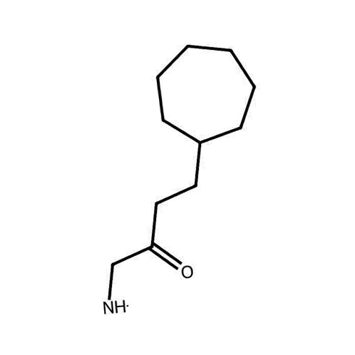 [NH]CC(=O)CCC1CCCCCC1